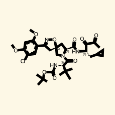 COc1cc(OC)c(C2=NO[C@]3(C2)C[C@@H](C(=O)N[C@@H](CC2CC2)C(=O)C(C)=O)N(C(=O)[C@@H](NC(=O)OC(C)(C)C)C(C)(C)C)C3)cc1Cl